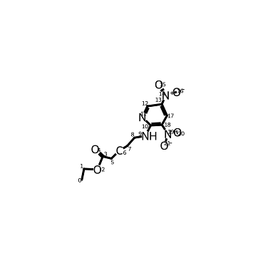 CCOC(=O)CCCCNc1ncc([N+](=O)[O-])cc1[N+](=O)[O-]